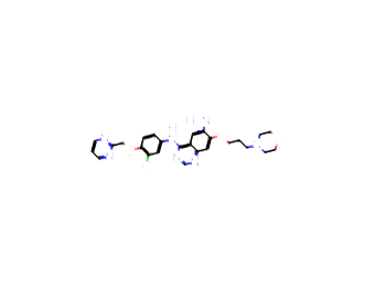 Nc1cc2c(Nc3ccc(OCc4ncccn4)c(Cl)c3)ncnc2cc1OCCCN1CCOCC1